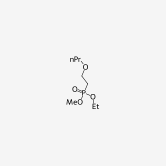 CCCOCCP(=O)(OC)OCC